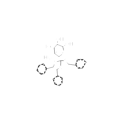 O[C@@H]1[C@@H](O)[C@@H](O)O[C@H](C(SCc2ccccc2)(SCc2ccccc2)SCc2ccccc2)[C@@H]1O